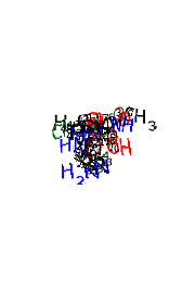 COC(=O)Nc1ccc(S(=O)(=O)C(C)C)c(C(CC(=O)O)NC(=O)C(Nc2ccc3c(N)nccc3c2)c2cccc(Cl)c2)c1